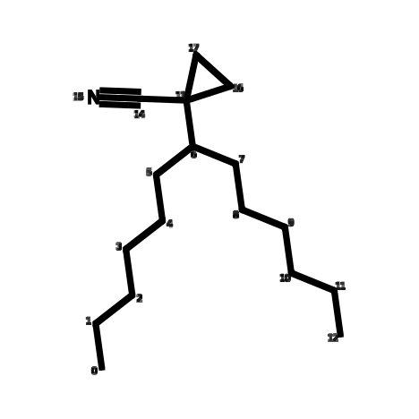 CCCCCCC(CCCCCC)C1(C#N)CC1